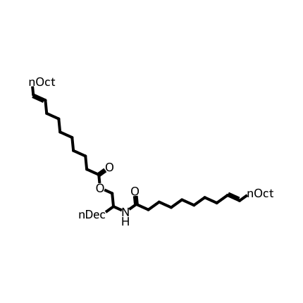 CCCCCCCCC=CCCCCCCCC(=O)NC(CCCCCCCCCC)COC(=O)CCCCCCCC=CCCCCCCCC